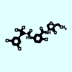 CCN1OC[C@@H](NC(=O)c2cc(NC(=O)[C@@H]3[C@@H](c4cc(Cl)cc(Cl)c4)C3(Cl)Cl)ccc2Cl)C1=O